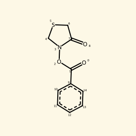 O=C(ON1CSCC1=O)c1ccccc1